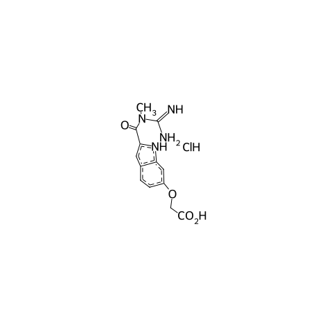 CN(C(=N)N)C(=O)c1cc2ccc(OCC(=O)O)cc2[nH]1.Cl